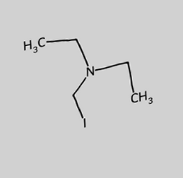 CCN(CC)CI